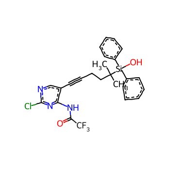 CC(C)(CCC#Cc1cnc(Cl)nc1NC(=O)C(F)(F)F)[Si](O)(c1ccccc1)c1ccccc1